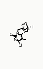 Cc1c(Cl)nc(=O)n2c1N1C[C@@H]3C[C@]1(CO3)C2